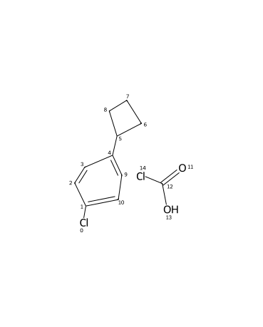 Clc1ccc(C2CCC2)cc1.O=C(O)Cl